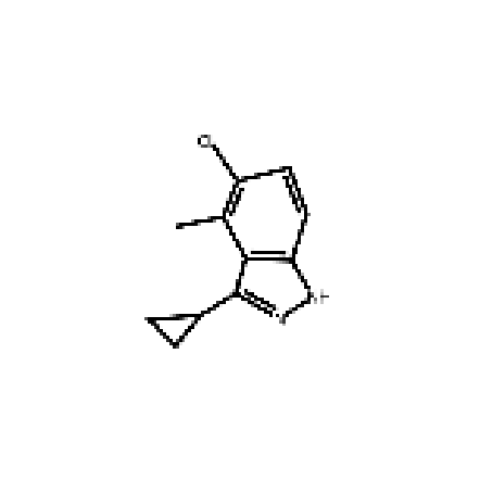 Cc1c(Cl)ccc2[nH]nc(C3CC3)c12